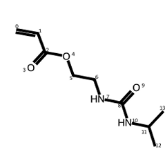 C=CC(=O)OCCNC(=O)NC(C)C